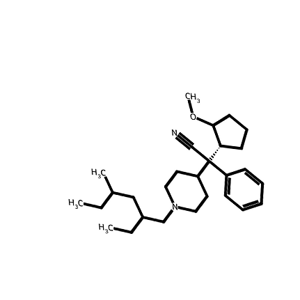 CCC(C)CC(CC)CN1CCC(C(C#N)(c2ccccc2)[C@H]2CCCC2OC)CC1